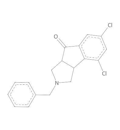 O=C1c2cc(Cl)cc(Cl)c2C2CN(Cc3ccccc3)CC12